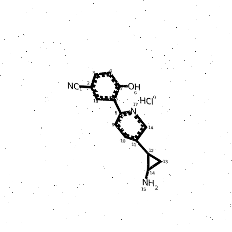 Cl.N#Cc1ccc(O)c(-c2ccc(C3CC3N)cn2)c1